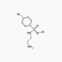 CCN=S(=O)(NCCN)c1ccc(Br)cc1